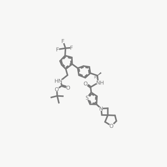 C[C@@H](NC(=O)c1cc(N2CC3(CCOC3)C2)cs1)c1ccc(-c2cc(C(F)(F)F)ccc2CNC(=O)OC(C)(C)C)cc1